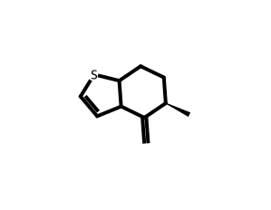 C=C1C2C=CSC2CC[C@H]1C